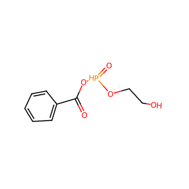 O=C(O[PH](=O)OCCO)c1ccccc1